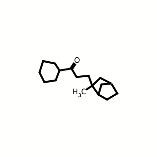 CC1(CCC(=O)C2CCCCC2)CC2CCC1C2